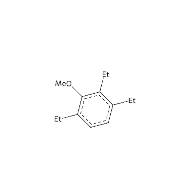 CCc1ccc(CC)c(OC)c1CC